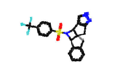 O=S(=O)(c1ccc(C(F)(F)F)cc1)N1C2c3ccccc3C[C@]23Cc2n[nH]cc2C13